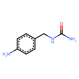 NC(=O)NCc1ccc(N)cc1